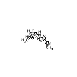 CCNS(=O)(=O)c1sc(Nc2nccn3c(-c4cnn(C)c4)cnc23)cc1C